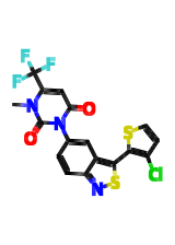 Cn1c(C(F)(F)F)cc(=O)n(-c2ccc3nsc(-c4sccc4Cl)c3c2)c1=O